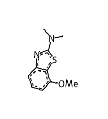 COc1cccc2nc(N(C)C)sc12